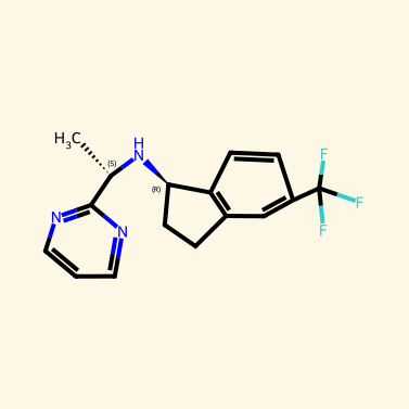 C[C@H](N[C@@H]1CCc2cc(C(F)(F)F)ccc21)c1ncccn1